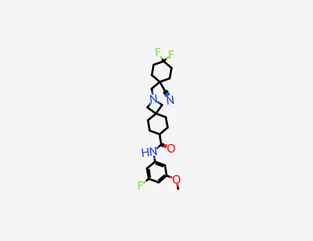 COc1cc(F)cc(NC(=O)C2CCC3(CC2)CN(CC2(C#N)CCC(F)(F)CC2)C3)c1